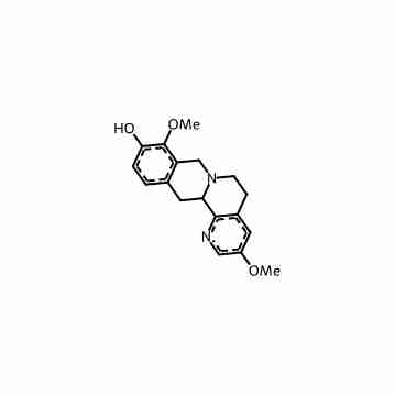 COc1cnc2c(c1)CCN1Cc3c(ccc(O)c3OC)CC21